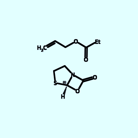 C=CCOC(=O)CC.O=C1O[C@H]2SCCN12